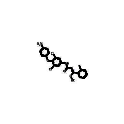 CCO/C(=N\C(=O)Nc1cc(Cl)c(Oc2ccc([N+](=O)[O-])cc2)c(Cl)c1)c1ccccc1C